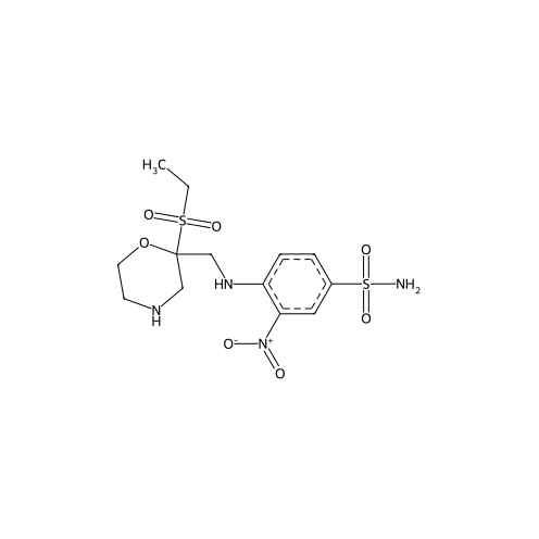 CCS(=O)(=O)C1(CNc2ccc(S(N)(=O)=O)cc2[N+](=O)[O-])CNCCO1